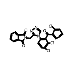 O=C(c1ccccc1Cl)c1c(-n2cnnc2CN2C(=O)c3ccccc3C2=O)ccc(Cl)c1Cl